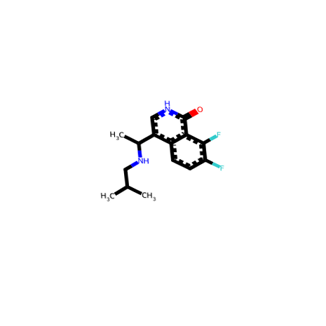 CC(C)CNC(C)c1c[nH]c(=O)c2c(F)c(F)ccc12